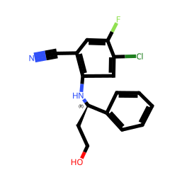 N#Cc1cc(F)c(Cl)cc1N[C@H](CCO)c1ccccc1